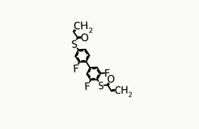 C=CC(=O)Sc1ccc(-c2cc(F)c(SC(=O)C=C)c(F)c2)c(F)c1